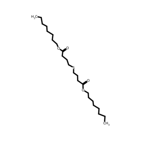 CCCCCCCCOC(=O)CCCSCCCC(=O)OCCCCCCCC